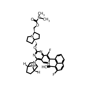 C#Cc1c(F)ccc2cccc(-c3ncc4c(N5C[C@H]6CC[C@@H](C5)N6)nc(OC[C@]56CCCN5[C@@H](COC(=O)N(C)C)CC6)nc4c3F)c12